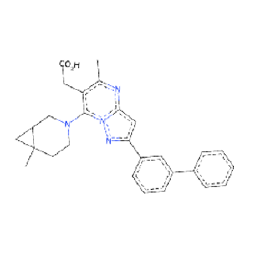 Cc1nc2cc(-c3cccc(-c4ccccc4)c3)nn2c(N2CCC3(C)CC3C2)c1CC(=O)O